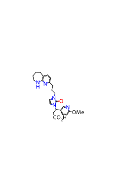 COc1ccc(C(CC(=O)O)n2ccn(CCCc3ccc4c(n3)NCCCC4)c2=O)cn1